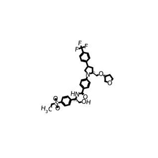 CCS(=O)(=O)c1ccc([C@H](CO)NC(=O)c2ccc(N3CC(c4ccc(C(F)(F)F)cc4)C[C@H]3CO[C@H]3CCOC3)cc2)cc1